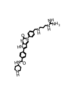 N=C(N)NCCCNCc1ccc(-n2cc3cc(-c4ccc(C(=O)NC5CCNCC5)cc4)[nH]c3nc2=O)cc1